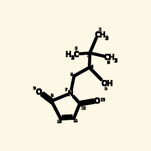 CC(C)(C)C(O)CN1C(=O)C=CC1=O